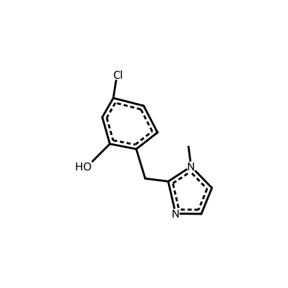 Cn1ccnc1Cc1ccc(Cl)cc1O